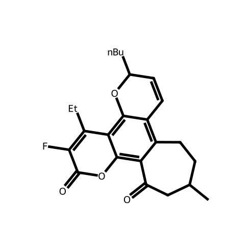 CCCCC1C=Cc2c3c(c4oc(=O)c(F)c(CC)c4c2O1)C(=O)CC(C)CC3